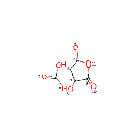 CC(=O)O.O=C1CC(O)C(=O)O1